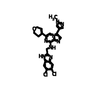 Cn1cc(-c2cnc3c(NCc4nc5cc(Cl)c(Cl)cc5[nH]4)nc(C4=CCOCC4)cn23)cn1